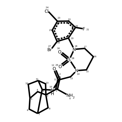 NC(=O)C12CC3CC(C1)C(NC(=O)CN1CCCN(c4c(F)cc(Cl)cc4Br)S1(=O)=O)C(C3)C2